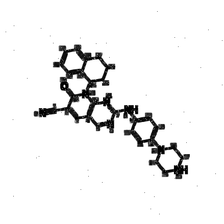 N#Cc1cc2cnc(Nc3ccc(N4CCNCC4)cc3)nc2n(C2CCCc3ccccc32)c1=O